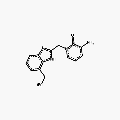 CC(C)(C)Cc1cccc2nc(Cn3cccc(N)c3=O)[nH]c12